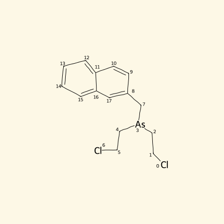 ClCC[As](CCCl)Cc1ccc2ccccc2c1